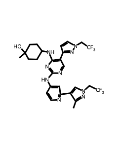 Cc1nn(CC(F)(F)F)cc1-c1cc(Nc2ncc(-c3ccn(CC(F)(F)F)n3)c(NC3CCC(C)(O)CC3)n2)ccn1